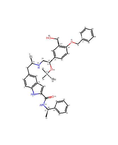 CC[C@H](Cc1ccc2[nH]c(C(=O)N[C@H](C)c3ccccc3)cc2c1)NC[C@H](O[Si](C)(C)C(C)(C)C)c1ccc(OCc2ccccc2)c(CO)c1